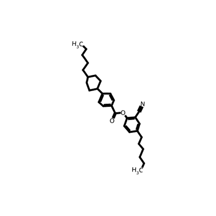 CCCCCCc1ccc(OC(=O)c2ccc(C3CCC(CCCCC)CC3)cc2)c(C#N)c1